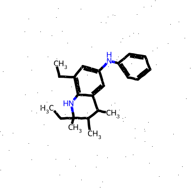 CCc1cc(Nc2ccccc2)cc2c1NC(C)(CC)C(C)C2C